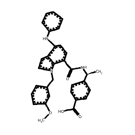 COc1cccc(Cn2ccc3c(Nc4ccccc4)ccc(C(=O)N[C@@H](C)c4ccc(C(=O)O)cc4)c32)c1